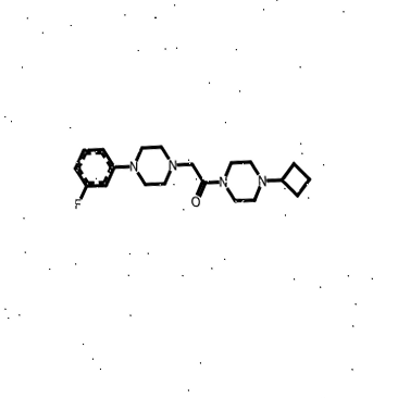 O=C(CN1CCN(c2cccc(F)c2)CC1)N1CCN(C2CCC2)CC1